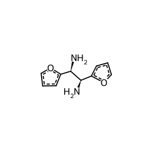 N[C@H](c1ccco1)[C@H](N)c1ccco1